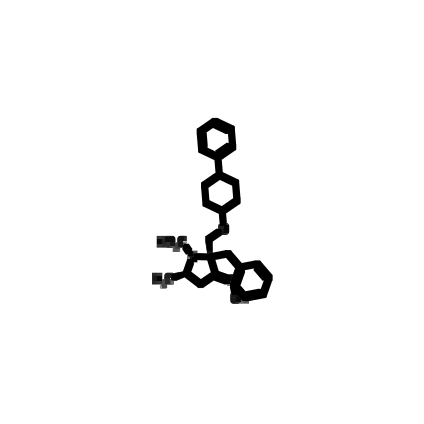 C[C@@H]1CC(=NO)[C@@](COC2CCC(c3ccccc3)CC2)(Cc2ccccc2)N1C(=O)O